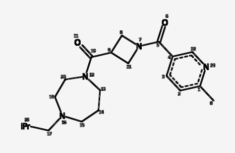 Cc1ccc(C(=O)N2CC(C(=O)N3CCCN(CC(C)C)CC3)C2)cn1